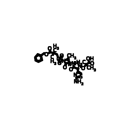 C[C@H]1[C@H](NC(=O)C(=NOC(C)(C)C(=O)O)c2csc(N)n2)C(=O)N1S(=O)(=O)OCC(C)(C)C(=O)OCc1ccccc1